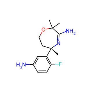 CC1(C)OCC[C@@](C)(c2cc(N)ccc2F)N=C1N